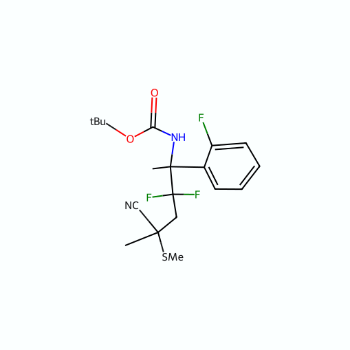 CSC(C)(C#N)CC(F)(F)C(C)(NC(=O)OC(C)(C)C)c1ccccc1F